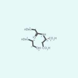 CCCCCCCCCCCC(=O)N[C@@H](CC(=O)O)C(=O)O.CCCCCCCCCCCCO